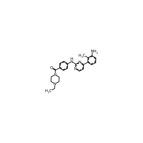 CCN1CCN(C(=O)c2ccc(Nc3nccc(-c4cccc(N)c4C)n3)cc2)CC1